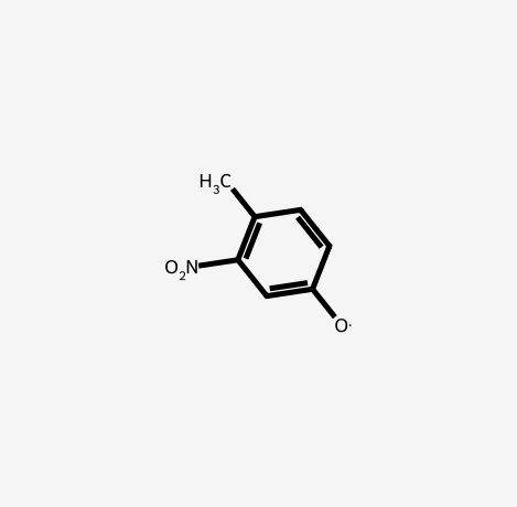 Cc1ccc([O])cc1[N+](=O)[O-]